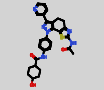 CC(=O)Nc1nc2c(s1)-c1c(c(-c3cccnc3)nn1-c1ccc(NC(=O)C3CCC(O)CC3)cc1)CC2